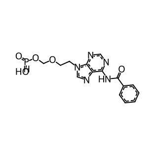 O=C(Nc1ncnc2c1ncn2CCOCO[PH](=O)O)c1ccccc1